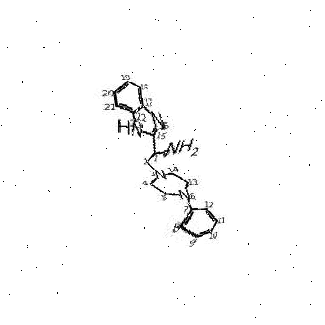 NC(CN1CCN(c2ccccc2)CC1)c1nc2ccccc2[nH]1